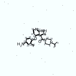 CC(C)N1CCN(C(=O)c2n[nH]c3nccc(Oc4ccc(N)cc4F)c23)CC1